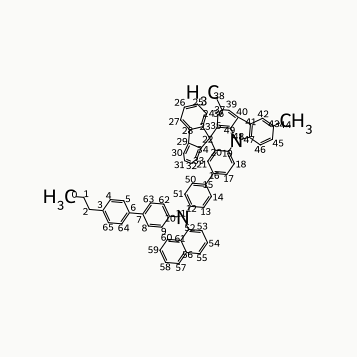 CCCc1ccc(-c2ccc(N(c3ccc(-c4ccc5c(c4)C4(c6ccccc6-c6ccccc64)c4cc(C)cc6c7cc(C)ccc7n-5c46)cc3)c3cccc4ccccc34)cc2)cc1